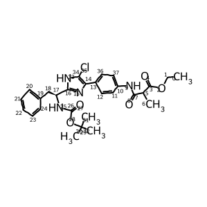 CCOC(=O)C(C)C(=O)Nc1ccc(-c2nc([C@H](Cc3ccccc3)NC(=O)OC(C)(C)C)[nH]c2Cl)cc1